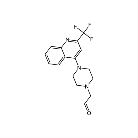 O=CCN1CCN(c2cc(C(F)(F)F)nc3ccccc23)CC1